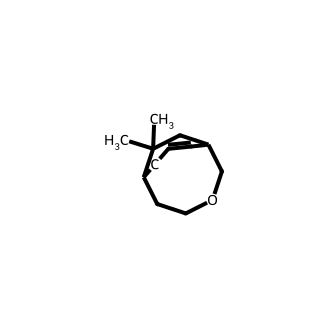 CC1(C)CC2C=CCC1CCOC2